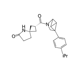 CC(C)c1ccc(C23CN(C(=O)[C@H]4C[C@]5(CCC(=O)N5)C4)C4C2C43)cc1